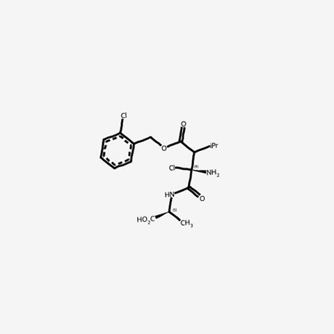 CC(C)C(C(=O)OCc1ccccc1Cl)[C@@](N)(Cl)C(=O)N[C@@H](C)C(=O)O